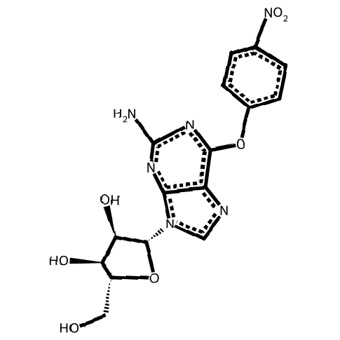 Nc1nc(Oc2ccc([N+](=O)[O-])cc2)c2ncn([C@@H]3O[C@H](CO)[C@@H](O)[C@H]3O)c2n1